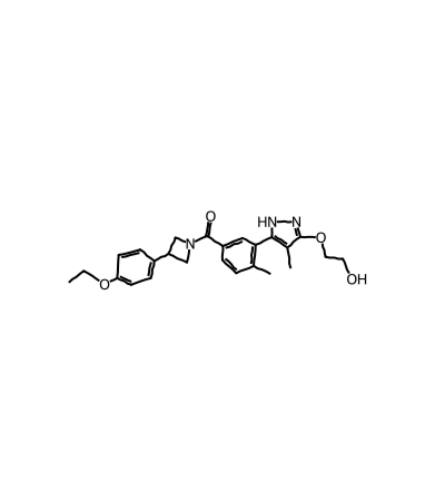 CCOc1ccc(C2CN(C(=O)c3ccc(C)c(-c4[nH]nc(OCCO)c4C)c3)C2)cc1